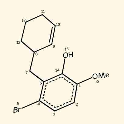 COc1ccc(Br)c(CC2C=CCCC2)c1O